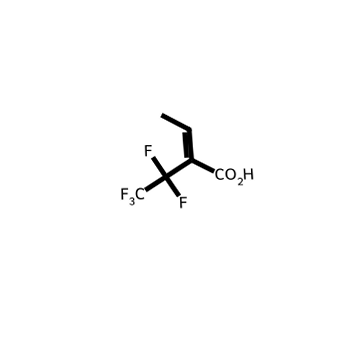 CC=C(C(=O)O)C(F)(F)C(F)(F)F